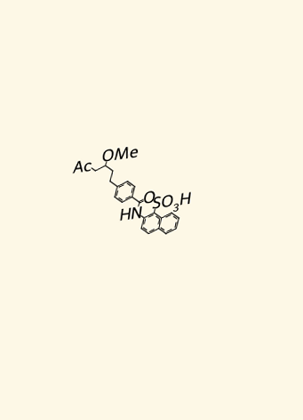 COC(CCc1ccc(C(=O)Nc2ccc3ccccc3c2S(=O)(=O)O)cc1)CC(C)=O